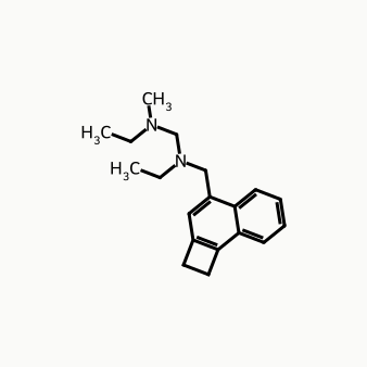 CCN(C)CN(CC)Cc1cc2c(c3ccccc13)CC2